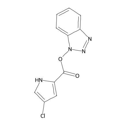 O=C(On1nnc2ccccc21)c1cc(Cl)c[nH]1